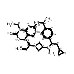 C=CC(=O)N1CC(N(C)C(CC2CC2)c2ccc([C@H](C)Nc3ncc4c(n3)N(CC)C(=O)OC4)cc2)C1